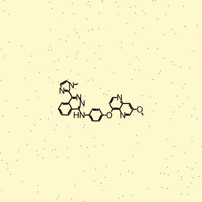 COc1cnc2c(Oc3ccc(Nc4nnc(-c5nccn5C)c5ccccc45)cc3)ccnc2c1